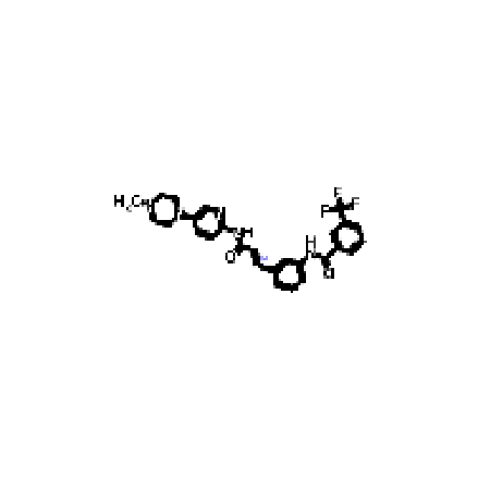 CN1CCN(c2ccc(NC(=O)/C=C/c3cccc(NC(=O)c4cccc(C(F)(F)F)c4)c3)nc2)CC1